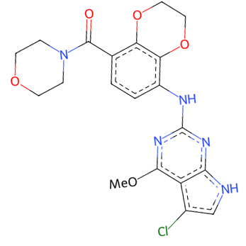 COc1nc(Nc2ccc(C(=O)N3CCOCC3)c3c2OCCO3)nc2[nH]cc(Cl)c12